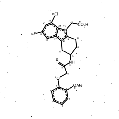 COc1ccccc1OCC(=O)NC1CCc2c(c3cc(F)cc(Cl)c3n2CC(=O)O)C1